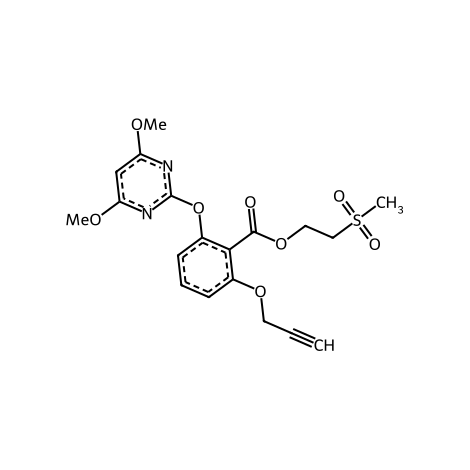 C#CCOc1cccc(Oc2nc(OC)cc(OC)n2)c1C(=O)OCCS(C)(=O)=O